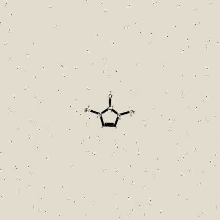 CC(C)n1ccn(C(C)C)[c+]1[O-]